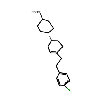 CCCCC[C@H]1CC[C@H](C2CC=C(CCc3ccc(F)cc3)CC2)CC1